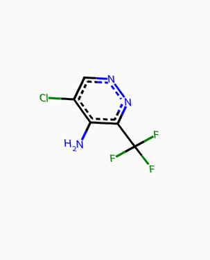 Nc1c(Cl)cnnc1C(F)(F)F